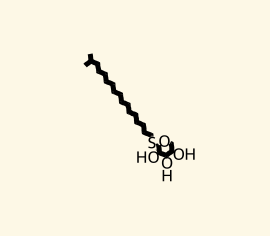 CC(C)CCCCCCCCCCCCCCCS[C@@H]1OC[C@@H](O)[C@H](O)[C@H]1O